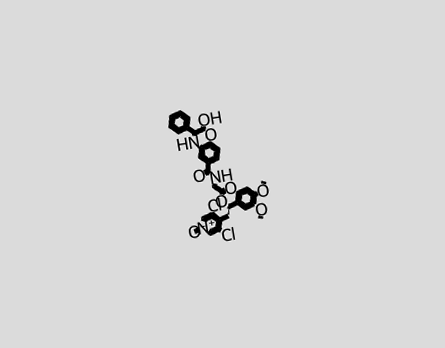 COc1ccc([C@H](Cc2c(Cl)c[n+]([O-])cc2Cl)OC(=O)CNC(=O)c2cccc(NC(C(=O)O)c3ccccc3)c2)cc1OC